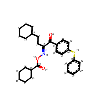 O=C(/C(CCC1CCCCC1)=N/OC(=O)C1CCCCC1)c1ccc(Sc2ccccc2)cc1